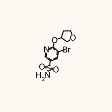 NS(=O)(=O)c1cnc(OC2CCOC2)c(Br)c1